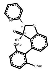 COc1cccc(OC)c1-c1cccc2c1[P@@](=O)(C(C)(C)C)[C@H](c1ccccn1)O2